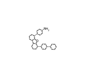 Nc1ccc(-c2cccc3c2oc2c(-c4ccc(-c5ccccc5)cc4)cccc23)cc1